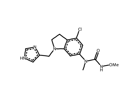 CONC(=O)N(C)c1cc(Cl)c2c(c1)N(Cc1c[nH]cn1)CC2